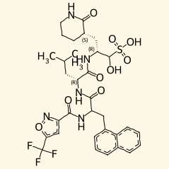 CC(C)C[C@@H](NC(=O)C(Cc1cccc2ccccc12)NC(=O)c1cc(C(F)(F)F)on1)C(=O)N[C@H](C[C@@H]1CCCNC1=O)C(O)S(=O)(=O)O